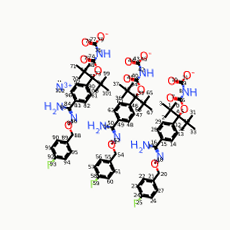 CC(C)(C)C(OC(=O)NC(=O)[O-])(c1ccc(C(N)=NOCc2ccc(F)cc2)cc1)C(C)(C)C.CC(C)(C)C(OC(=O)NC(=O)[O-])(c1ccc(C(N)=NOCc2ccc(F)cc2)cc1)C(C)(C)C.CC(C)(C)C(OC(=O)NC(=O)[O-])(c1ccc(C(N)=NOCc2ccc(F)cc2)cc1)C(C)(C)C.[N+3]